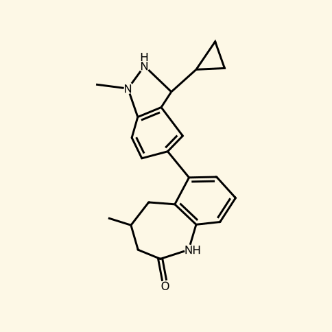 CC1CC(=O)Nc2cccc(-c3ccc4c(c3)C(C3CC3)NN4C)c2C1